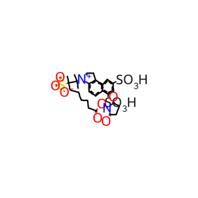 CC(C)([N+]1=CCc2c1ccc1c(S(=O)(=O)O)cc(S(=O)(=O)O)cc21)C(C)(CCCCCC(=O)ON1C(=O)CCC1=O)S(=O)(=O)[O-]